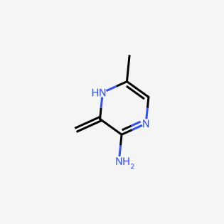 C=C1NC(C)=CN=C1N